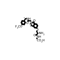 C[C@H](NC(=O)Cn1nnc2cc(SC[C@H](N)C(=O)NCC(=O)O)ccc2c1=O)c1ccc(OC(F)(F)F)cc1